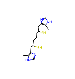 Cc1[nH]cnc1CC(S)CCCC(S)Cc1nc[nH]c1C